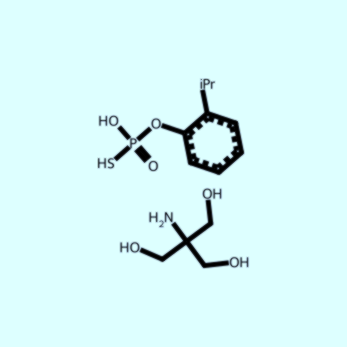 CC(C)c1ccccc1OP(=O)(O)S.NC(CO)(CO)CO